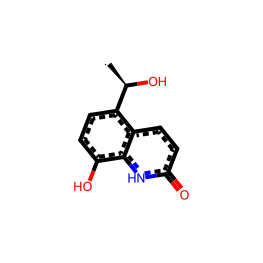 [CH2][C@@H](O)c1ccc(O)c2[nH]c(=O)ccc12